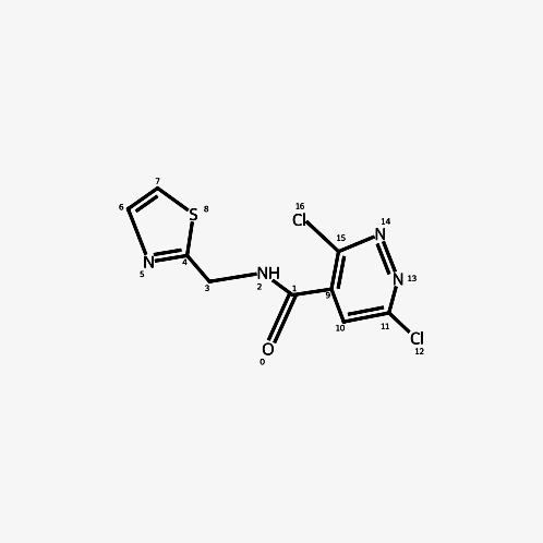 O=C(NCc1nccs1)c1cc(Cl)nnc1Cl